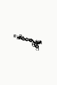 CCC(C)n1ncn(-c2ccc(N3CCN(c4ccc(NCC5COC(Cn6nccn6)(c6ccc(Cl)cc6Cl)N5)cc4)CC3)cn2)c1=O